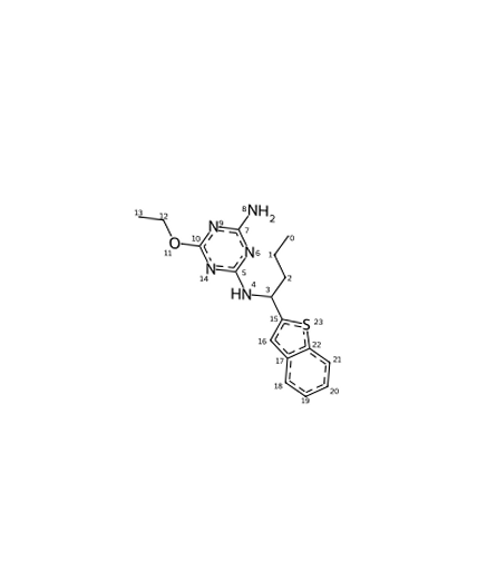 CCCC(Nc1nc(N)nc(OCC)n1)c1cc2ccccc2s1